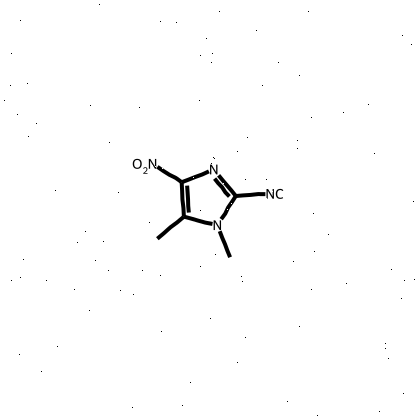 [C-]#[N+]c1nc([N+](=O)[O-])c(C)n1C